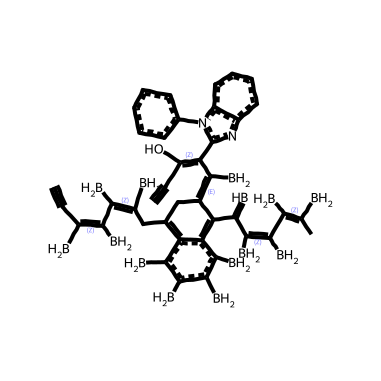 B=C(C1=c2c(B)c(B)c(B)c(B)c2=C(C/C(B)=C(B)\C(B)=C(\B)C#C)C/C1=C(B)\C(=C(\O)C#C)c1nc2ccccc2n1-c1ccccc1)/C(B)=C(B)\C(B)=C(\B)C